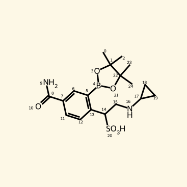 CC1(C)OB(c2cc(C(N)=O)ccc2C(CNC2CC2)S(=O)(=O)O)OC1(C)C